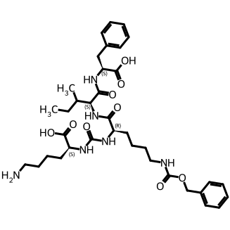 CCC(C)[C@H](NC(=O)[C@@H](CCCCNC(=O)OCc1ccccc1)NC(=O)N[C@@H](CCCCN)C(=O)O)C(=O)N[C@@H](Cc1ccccc1)C(=O)O